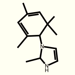 CC1=CC(C)(C)C(N2C=CNC2C)C(C)=C1